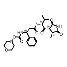 CC(C)[C@H](NC(=O)C[C@H](NC(=O)ON1CCOCC1)c1ccccc1)C(=O)[C@@H]1C(=O)NC(=O)[C@H]1C